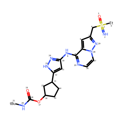 CCS(=N)(=O)Cc1cc2c(Nc3cc(C4CCC(OC(=O)NC(C)(C)C)C4)[nH]n3)nccn2n1